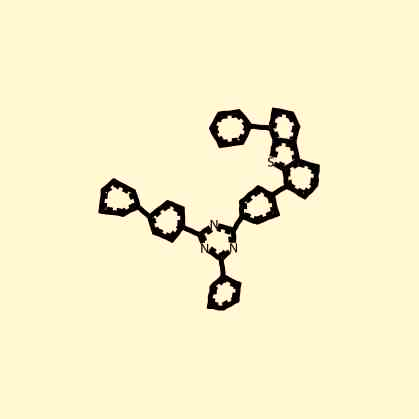 c1ccc(-c2ccc(-c3nc(-c4ccccc4)nc(-c4ccc(-c5cccc6c5sc5c(-c7ccccc7)cccc56)cc4)n3)cc2)cc1